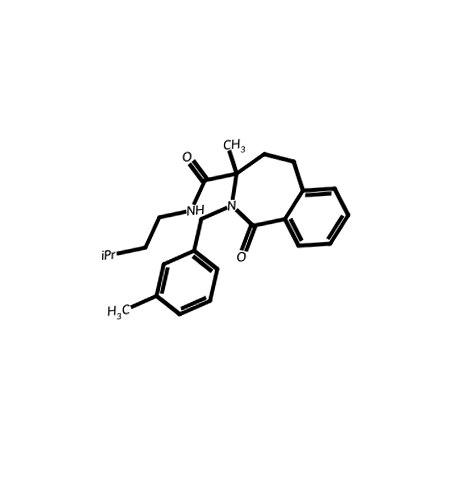 Cc1cccc(CN2C(=O)c3ccccc3CCC2(C)C(=O)NCCC(C)C)c1